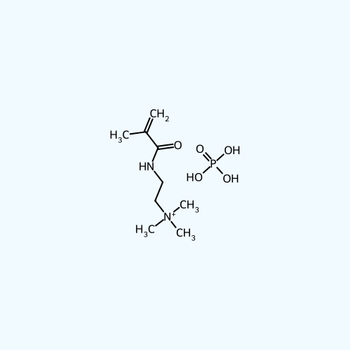 C=C(C)C(=O)NCC[N+](C)(C)C.O=P(O)(O)O